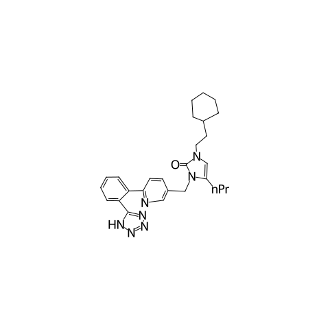 CCCc1cn(CCC2CCCCC2)c(=O)n1Cc1ccc(-c2ccccc2-c2nnn[nH]2)nc1